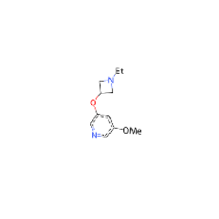 CCN1CC(Oc2cncc(OC)c2)C1